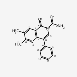 Cc1cc2c(=O)n(C(N)=O)cc(-c3ccccc3)c2nc1C